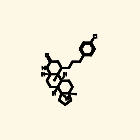 C[C@@]12CCC[C@H]1[C@@H]1CC[C@H]3NC(=O)CC(CCCc4ccc(Cl)cc4)[C@]3(C)[C@H]1CC2